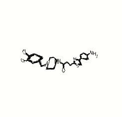 Nc1ccc(-c2csc(CCC(=O)NC3CCN(Cc4ccc(Cl)c(Cl)c4)CC3)n2)cc1